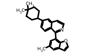 Cc1cc(-c2nccc3cc(C4CCC(C)(C)CC4)ccc23)c2occc2c1